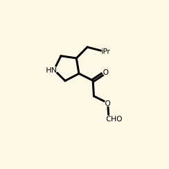 CC(C)CC1CNCC1C(=O)COC=O